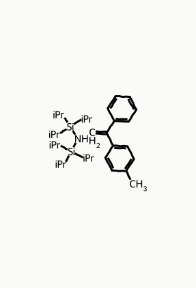 C=C(c1ccccc1)c1ccc(C)cc1.CC(C)[Si](N[Si](C(C)C)(C(C)C)C(C)C)(C(C)C)C(C)C